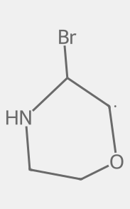 BrC1[CH]OCCN1